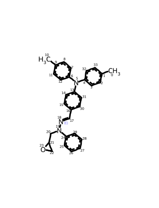 Cc1ccc(N(c2ccc(C)cc2)c2ccc(/C=N/N(CC3CO3)c3ccccc3)cc2)cc1